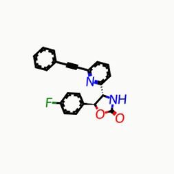 O=C1N[C@@H](c2cccc(C#Cc3ccccc3)n2)[C@H](c2ccc(F)cc2)O1